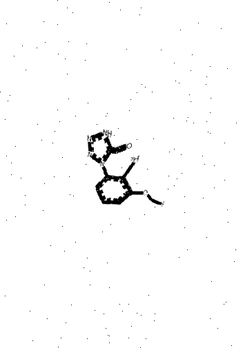 [3H]c1c(OCF)cccc1-n1nn[nH]c1=O